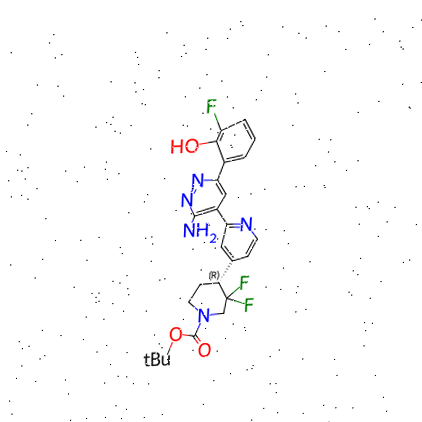 CC(C)(C)OC(=O)N1CC[C@H](c2ccnc(-c3cc(-c4cccc(F)c4O)nnc3N)c2)C(F)(F)C1